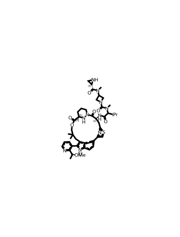 CCn1c(-c2cccnc2[C@H](C)OC)c2c3cc(ccc31)-c1csc(n1)C[C@H](NC(=O)C(C(C)C)N(C)C(=O)N1CC(N(C)C(=O)[C@@H]3CN3)C1)C(=O)N1CCC[C@H](N1)C(=O)OCC(C)(C)C2